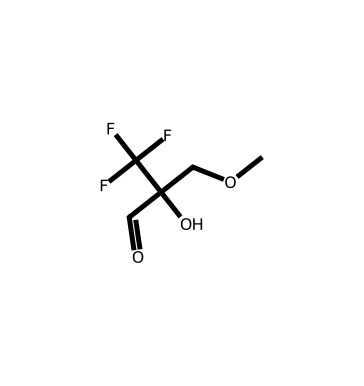 COCC(O)(C=O)C(F)(F)F